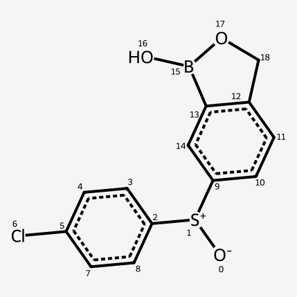 [O-][S+](c1ccc(Cl)cc1)c1ccc2c(c1)B(O)OC2